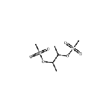 CC(OS(C)(=O)=O)C(C)OS(C)(=O)=O